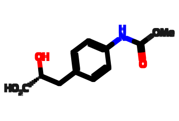 COC(=O)Nc1ccc(C[C@@H](O)C(=O)O)cc1